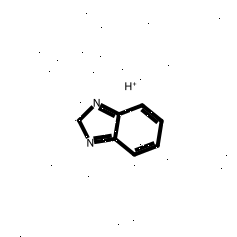 [CH]1N=c2ccccc2=N1.[H+]